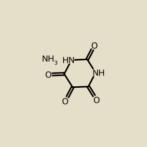 N.O=C1NC(=O)C(=O)C(=O)N1